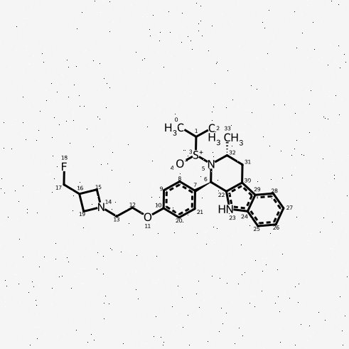 CC(C)[S+]([O-])N1[C@H](c2ccc(OCCN3CC(CF)C3)cc2)c2[nH]c3ccccc3c2C[C@H]1C